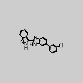 Clc1cccc(-c2ccc3nc(-c4[nH]nc5ccccc45)[nH]c3c2)c1